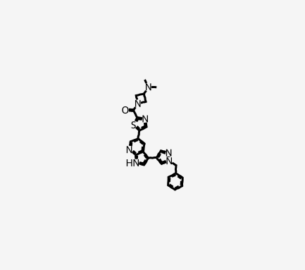 CN(C)C1CN(C(=O)c2ncc(-c3cnc4[nH]cc(-c5cnn(Cc6ccccc6)c5)c4c3)s2)C1